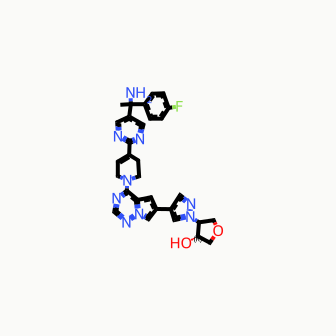 CC(N)(c1ccc(F)cc1)c1cnc(C2=CCN(c3ncnn4cc(-c5cnn(C6COC[C@@H]6O)c5)cc34)CC2)nc1